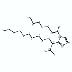 CCCCCCCCCCC(c1nccn1C(C)CCCCCC)C(C)C